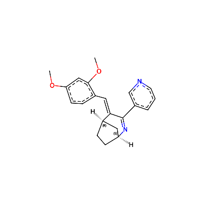 COc1ccc(C=C2C(c3cccnc3)=N[C@H]3CC[C@@H]2C3)c(OC)c1